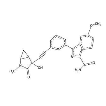 COc1ccn2c(C(N)=O)nc(-c3cccc(C#CC4(O)C(=O)N(C)C5CC54)c3)c2c1